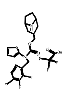 O=C(O)C(F)(F)F.O=C(OCC1CC2CCC(C1)N2)N(Cc1ccc(F)c(F)c1F)c1cccs1